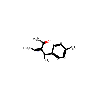 COC(=O)/C(=C\C(=O)O)C([SiH3])c1ccc(C)cc1